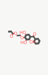 C=CC(=O)OCCOc1c(O)cc(C(=O)c2ccccc2)c(O)c1O